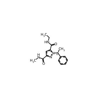 CCNC(=O)c1cc(C(=O)NC)nn1[C@@H](C)c1ccccc1